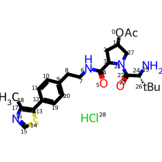 CC(=O)OC1CC(C(=O)NCCc2ccc(-c3scnc3C)cc2)N(C(=O)[C@H](N)C(C)(C)C)C1.Cl